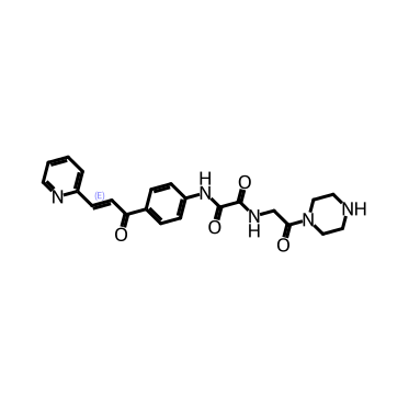 O=C(NCC(=O)N1CCNCC1)C(=O)Nc1ccc(C(=O)/C=C/c2ccccn2)cc1